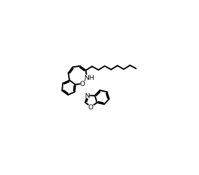 CCCCCCCCc1cccc2ccccc2o[nH]1.c1ccc2ocnc2c1